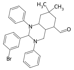 CC1(C)CC(C=O)C2CN(c3ccccc3)C(c3cccc(Br)c3)N(c3ccccc3)C2C1